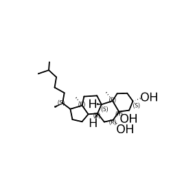 CC(C)CCC[C@H](C)C1CCC2[C@H]3C[C@@H](O)[C@@]4(O)C[C@@H](O)CC[C@]4(C)[C@H]3CC[C@@]21C